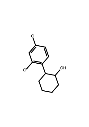 OC1CCCCC1c1ccc(Cl)cc1Cl